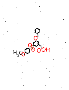 COc1ccc(S(=O)(=O)c2cc(CC(=O)O)cc(OCc3ccccc3)c2)cc1